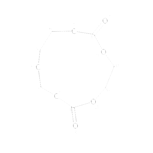 O=C1CCCCCCC(=O)OCCO1